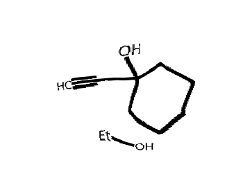 C#CC1(O)CCCCC1.CCO